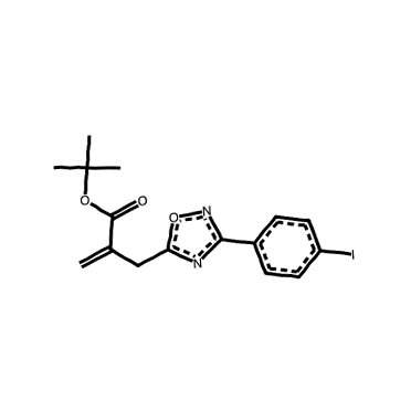 C=C(Cc1nc(-c2ccc(I)cc2)no1)C(=O)OC(C)(C)C